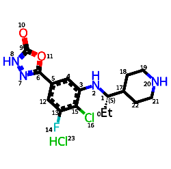 CC[C@H](Nc1cc(-c2n[nH]c(=O)o2)cc(F)c1Cl)C1CCNCC1.Cl